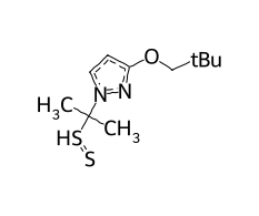 CC(C)(C)COc1ccn(C(C)(C)[SH]=S)n1